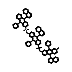 Cc1ccc2c(-c3cccc4ccccc34)c3ccc(CC(C)(C)c4ccc5c(-c6cccc7ccccc67)c6ccc(C[Si](C)(C)c7ccc8c(-c9cccc%10ccccc9%10)c9ccccc9c(-c9ccccc9)c8c7)cc6c(-c6ccccc6)c5c4)cc3c(-c3ccccc3)c2c1